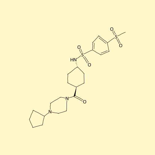 CS(=O)(=O)c1ccc(S(=O)(=O)N[C@H]2CC[C@H](C(=O)N3CCN(C4CCCC4)CC3)CC2)cc1